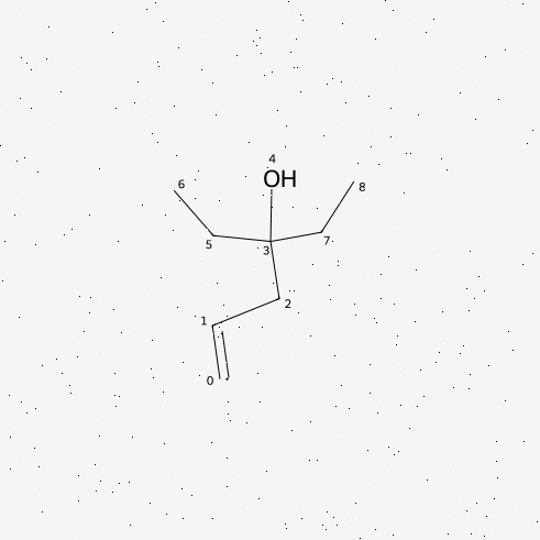 [CH]=CCC(O)(CC)CC